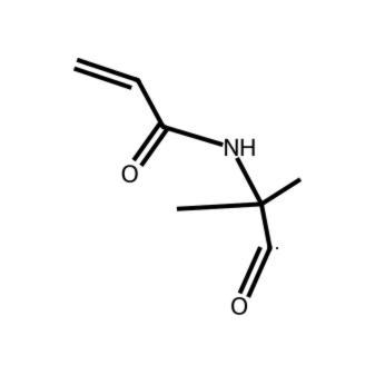 C=CC(=O)NC(C)(C)[C]=O